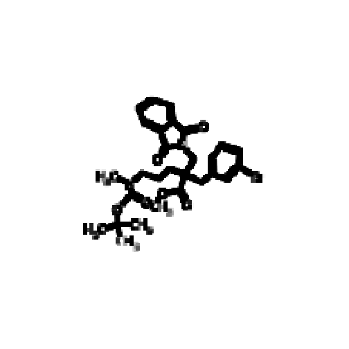 COC(=O)C(CCCN(C)C(=O)OC(C)(C)C)(Cc1cccc(Br)c1)CN1C(=O)c2ccccc2C1=O